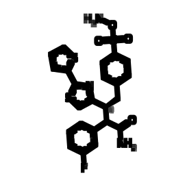 NOS(=O)(=O)c1ccc(C[C@H](c2csc(-c3cccs3)n2)C(C(N)=O)c2cccc(F)c2)cc1